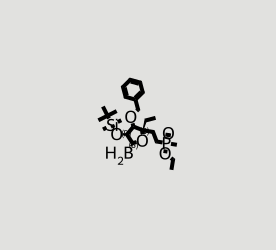 B[C@@H]1O[C@@](CC)(CCP(C)(=O)OCC)C(OCc2ccccc2)[C@@H]1O[Si](C)(C)C(C)(C)C